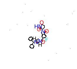 O=C1CCC(N2Cc3cc(C(=O)N4C[C@@H]5C[C@H]4CN5C(c4ccccc4)c4ccccc4)c(F)cc3C2=O)C(=O)N1